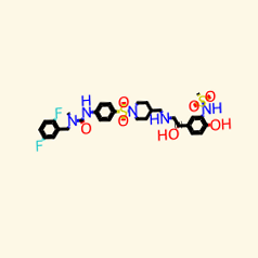 CN(Cc1cc(F)ccc1F)C(=O)Nc1ccc(S(=O)(=O)N2CCC(CNC[C@H](O)c3ccc(O)c(NS(C)(=O)=O)c3)CC2)cc1